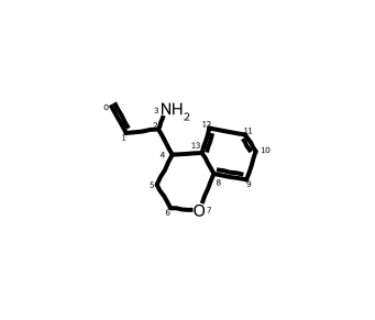 C=CC(N)C1CCOc2ccccc21